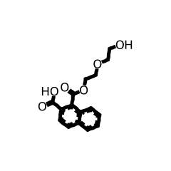 O=C(O)c1ccc2ccccc2c1C(=O)OCCOCCO